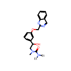 CCN(CC)C(=O)N(C)CC(O)c1cccc(OCc2ncc3ccccc3n2)c1